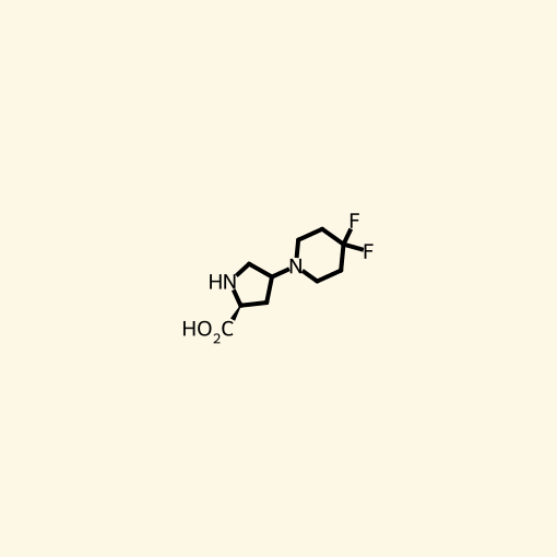 O=C(O)[C@@H]1CC(N2CCC(F)(F)CC2)CN1